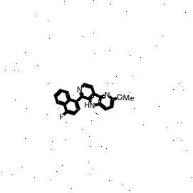 COc1ccc2[nH]c3c(-c4ccc(F)c5ccccc45)nccc3c2n1